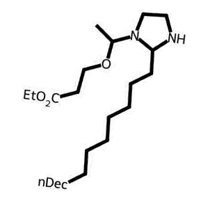 CCCCCCCCCCCCCCCCCC1NCCN1C(C)OCCC(=O)OCC